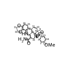 COc1ccc(S(=O)(=O)C2(C)C=CC=C3C2=NCC(C(N)=O)=C3Nc2cccc3c2OCCO3)cc1